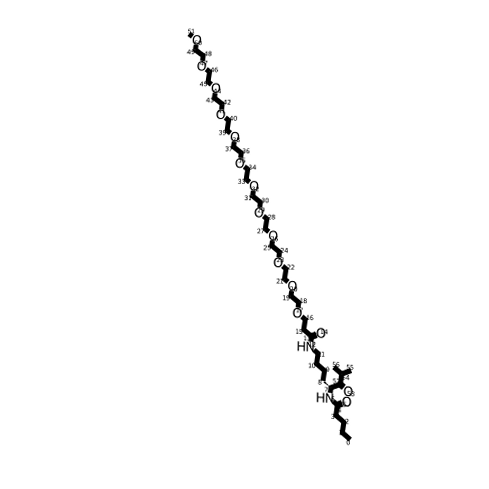 CCCCC(=O)N[C@H](CCCCNC(=O)CCOCCOCCOCCOCCOCCOCCOCCOCCOCCOCCOCCOC)C(=O)C(C)C